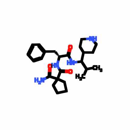 CC(C)C(NC(=O)[C@@H](Cc1ccccc1)NC(=O)C1(C(N)=O)CCCC1)C1CCNCC1